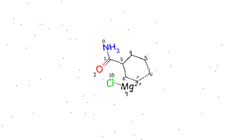 NC(=O)C1CCCCC1.[Mg+2][Cl]